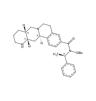 CC(C)CON(C(=O)c1ccc2c(c1)CCN1C[C@H]3CCCN[C@H]3C[C@H]21)[C@H](C)c1ccccc1